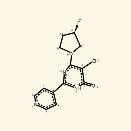 O=c1[nH]c(-c2ccncc2)nc(N2CC[C@@H](F)C2)c1Cl